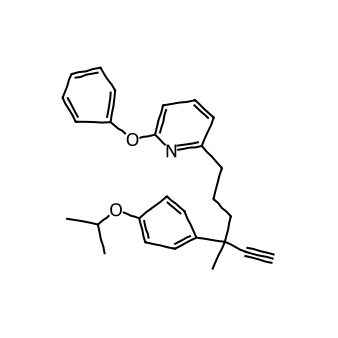 C#CC(C)(CCCc1cccc(Oc2ccccc2)n1)c1ccc(OC(C)C)cc1